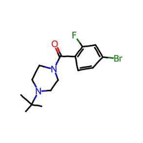 CC(C)(C)N1CCN(C(=O)c2ccc(Br)cc2F)CC1